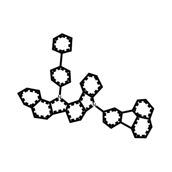 c1ccc(-c2ccc(-n3c4c5ccccc5ccc4c4ccc5c(c6ccccc6n5-c5ccc6c(c5)-c5cccc7cccc-6c57)c43)cc2)cc1